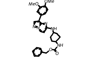 COc1ccc(-c2cnn3ccc(NC4CCC(NC(=O)OCc5ccccc5)CC4)nc23)cc1OC